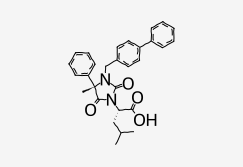 CC(C)C[C@@H](C(=O)O)N1C(=O)N(Cc2ccc(-c3ccccc3)cc2)[C@@](C)(c2ccccc2)C1=O